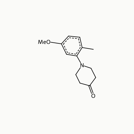 COc1ccc(C)c(N2CCC(=O)CC2)c1